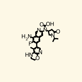 Cc1c(-c2cc3cc(N(C(=O)O)C4CC(=O)N(C(C)C)C4)ncc3c(N)c2F)cnc2c1NCCO2